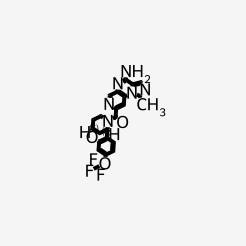 Cc1ncc2c(N)nc3cnc(C(=O)N4CC[C@H]5C[C@@H]4c4ccc(OC(F)(F)F)cc4O5)cc3n12